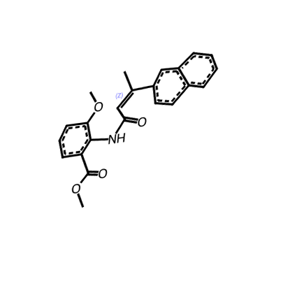 COC(=O)c1cccc(OC)c1NC(=O)/C=C(/C)c1ccc2ccccc2c1